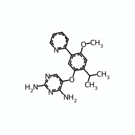 COc1cc(C(C)C)c(Oc2cnc(N)nc2N)cc1-c1ccccn1